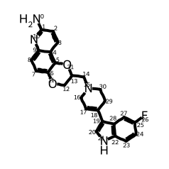 Nc1ccc2c3c(ccc2n1)OCC(CN1CC=C(c2c[nH]c4ccc(F)cc24)CC1)O3